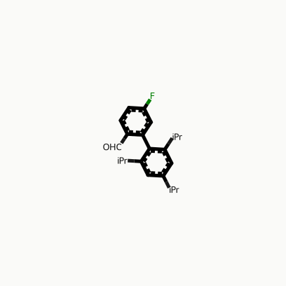 CC(C)c1cc(C(C)C)c(-c2cc(F)ccc2C=O)c(C(C)C)c1